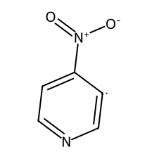 O=[N+]([O-])c1[c]cncc1